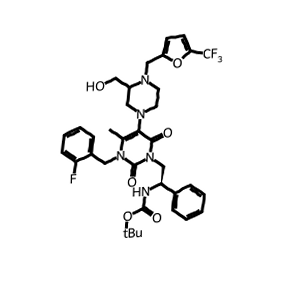 Cc1c(N2CCN(Cc3ccc(C(F)(F)F)o3)C(CO)C2)c(=O)n(C[C@H](NC(=O)OC(C)(C)C)c2ccccc2)c(=O)n1Cc1ccccc1F